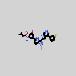 CC(C)CC(=O)Nc1cc(I)cc(-c2ccc3[nH]nc(-c4cc5c(-c6cccc(F)c6)cncc5[nH]4)c3n2)c1